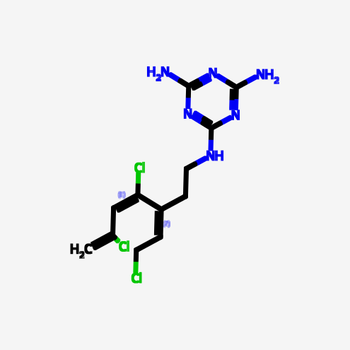 C=C(Cl)/C=C(Cl)\C(=C/CCl)CCNc1nc(N)nc(N)n1